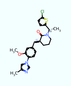 COc1cc(/C=C2\CCCN([C@@H](C)c3ccc(Cl)s3)C2=O)ccc1-n1cnc(C)c1